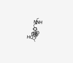 CCc1nc(Cc2ccc(S(=O)(=O)N(C)[C@@H](CC(C)C)C(=O)O)cc2)c[nH]1